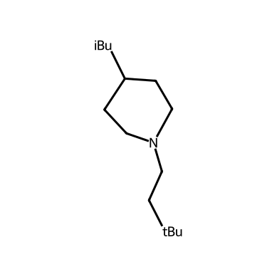 CCC(C)C1CCN(CCC(C)(C)C)CC1